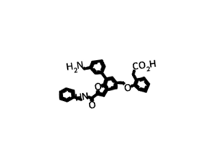 NCc1cccc(-c2cc(COc3ccccc3CC(=O)O)cc3cc(C(=O)NCc4ccccc4)oc23)c1